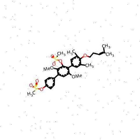 COc1cc(-c2ccc(OS(C)(=O)=O)cc2)c(OC)c(OS(C)(=O)=O)c1-c1cc(C)c(OCCC=C(C)C)c(C)c1